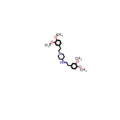 COc1ccc(CCNC2CCN(CCc3ccc(OC)c(OC)c3)CC2)cc1OC